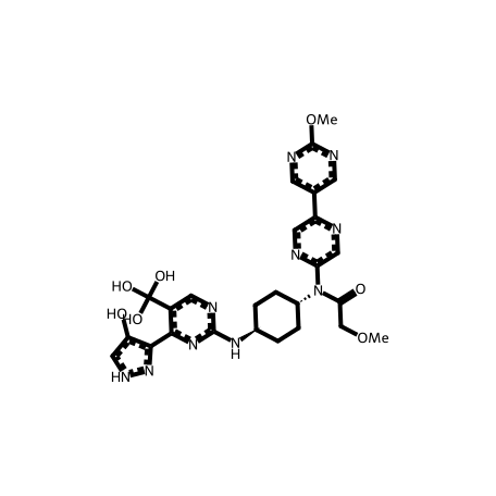 COCC(=O)N(c1cnc(-c2cnc(OC)nc2)cn1)[C@H]1CC[C@H](Nc2ncc(C(O)(O)O)c(-c3n[nH]cc3O)n2)CC1